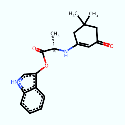 C[C@H](NC1=CC(=O)CC(C)(C)C1)C(=O)Oc1c[nH]c2ccccc12